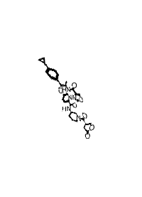 CC(NC(=O)c1cocn1)C(Oc1ccc(C(=O)N[C@H]2CCCN(C(=O)[C@H]3COC(=O)C3)C2)nc1)c1ccc(C2CC2)cc1